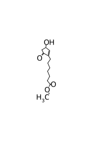 CCOC(=O)CCCCCCC1=C[C@H](O)CC1=O